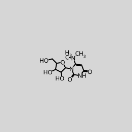 CN(C)c1cc(=O)[nH]c(=O)n1C1OC(CO)C(O)C1O